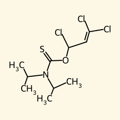 CC(C)N(C(=S)OC(Cl)C=C(Cl)Cl)C(C)C